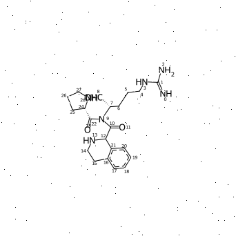 N=C(N)NCCC[C@@H](C=O)N(C(=O)C1NCCc2ccccc21)C(=O)[C@@H]1CCCN1